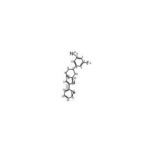 N#Cc1cc(F)cc(C2CCn3cc(-c4ccccn4)nc3C2)c1